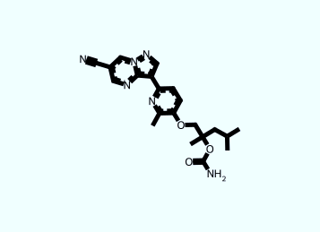 Cc1nc(-c2cnn3cc(C#N)cnc23)ccc1OCC(C)(CC(C)C)OC(N)=O